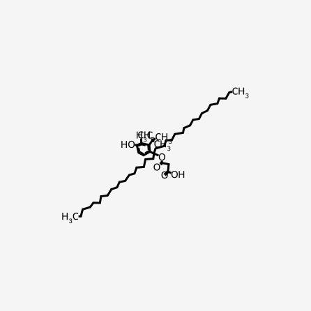 CCCCCCCCCCCCCCCCCCC(CCCCCCCCCCCCCCCCCC)(OC(=O)CC(=O)O)c1ccc(O)c(C)c1C(C)(C)C